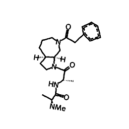 CN[C@@H](C)C(=O)N[C@@H](C)C(=O)N1CC[C@H]2CCCN(C(=O)Cc3ccccc3)C[C@H]21